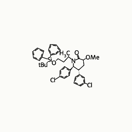 COC1C[C@H](c2cccc(Cl)c2)[C@@H](c2ccc(Cl)cc2)N([C@@H](C)CCO[Si](c2ccccc2)(c2ccccc2)C(C)(C)C)C1=O